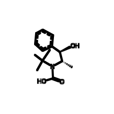 C[C@@H]([C@H](O)c1ccccc1)N(C(=O)O)C(C)(C)C